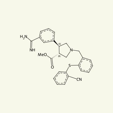 COC(=O)[C@H]1CN(Cc2ccccc2Sc2ccccc2C#N)C[C@@H]1c1cccc(C(=N)N)c1